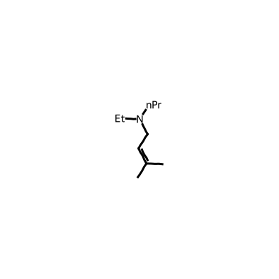 CCCN(CC)CC=C(C)C